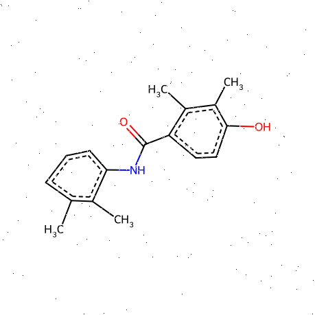 Cc1cccc(NC(=O)c2ccc(O)c(C)c2C)c1C